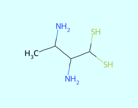 CC(N)C(N)C(S)S